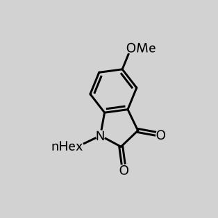 CCCCCCN1C(=O)C(=O)c2cc(OC)ccc21